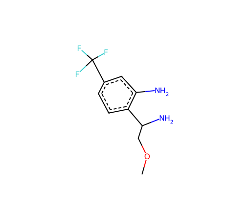 COCC(N)c1ccc(C(F)(F)F)cc1N